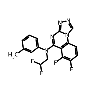 Cc1cccc(N(CC(F)F)c2nc3nncn3c3ccc(F)c(F)c23)c1